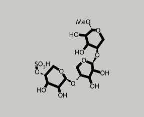 CO[C@@H]1OC[C@@H](O[C@@H]2OC[C@@H](O[C@@H]3OC[C@@H](OS(=O)(=O)O)C(O)C3O)C(O)C2O)C(O)C1O